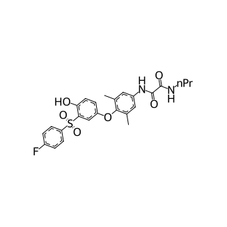 CCCNC(=O)C(=O)Nc1cc(C)c(Oc2ccc(O)c(S(=O)(=O)c3ccc(F)cc3)c2)c(C)c1